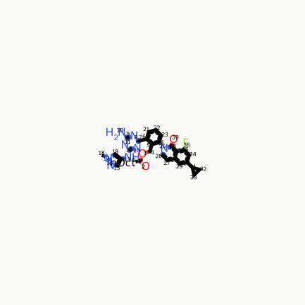 CCCCCCCCC(=O)OCc1c(-c2nc(N)nc(Nc3cnn(C)c3)n2)cccc1-n1ccc2cc(C3CC3)cc(F)c2c1=O